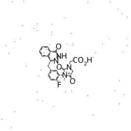 C[N+]1(c2cc(Cc3n[nH]c(=O)c4ccccc34)ccc2F)C(=O)CN(CC(=O)O)C1=O